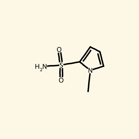 Cn1cccc1S(N)(=O)=O